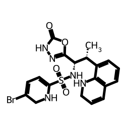 C[C@H](c1cccc2c1NCC=C2)[C@H](NS(=O)(=O)C1=CC=C(Br)CN1)c1n[nH]c(=O)o1